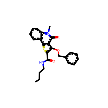 CCCCNC(=O)c1sc2c(c1OCc1ccccc1)c(=O)n(C)c1ccccc21